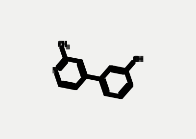 Cc1cc(-c2cccc(O)c2)ccn1